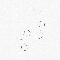 O=S(=O)(Cc1ccccn1)Nc1ccc(Oc2ncccc2-c2ccnc(N[C@H]3CCCNC3)n2)c(F)c1F